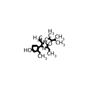 CCc1cc(O)ccc1-c1nc(CC)c(OC(C(C)C)C(C)C)nc1CC